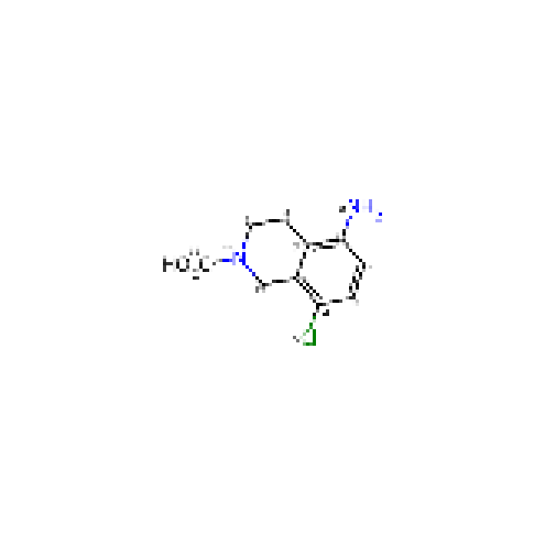 Nc1ccc(Cl)c2c1CCN(C(=O)O)C2